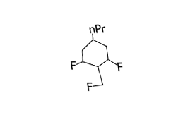 CCCC1CC(F)C(CF)C(F)C1